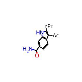 CCCc1[nH]c2cc(C(N)=O)ccc2c1C(C)=O